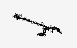 COc1ccc(C(=O)C2CCN(C(=O)c3ncc(C(=O)NC4CCN(Cc5ccc(C#N)cc5)CC4)cc3CCCNC(=O)CCOCCOCCOCCOCCNC(=O)CCCC[C@@H]3SCC4NC(=O)NC43)CC2)cc1